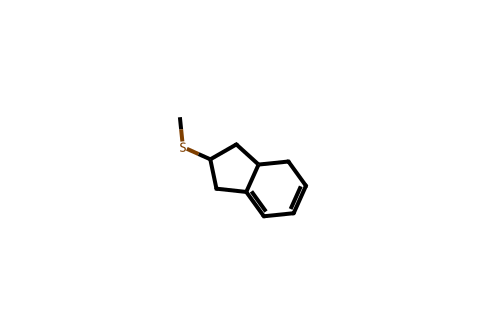 CSC1CC2=CC=CCC2C1